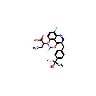 CCC(Oc1ccc(F)c2ncc(Cc3ccc(C(C)(C)O)cc3)c(OC(F)F)c12)C(=O)O